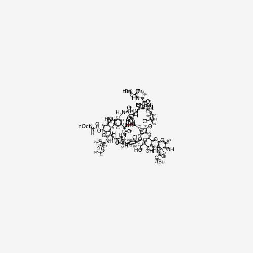 CCCCCCCCNC(=O)Oc1cc(O)c2c(c1)[C@@H](C(=O)NC1C3CC4CC(C3)CC1C4)NC(=O)[C@H]1NC(=O)[C@H](NC(=O)[C@@H]3NC(=O)[C@H](CC(N)=O)NC(=O)[C@H](NC(=O)[C@@H](CC(C)C)NC(=O)OC(C)(C)C)[C@H](O)c4ccc(c(Cl)c4)Oc4cc3cc(c4OC3OC(CO)C(O)C(O)C3OC3CC(C)(NC(=O)OC(C)(C)C)C(O)C(C)O3)Oc3ccc(cc3Cl)[C@H]1O)c1ccc(O)c-2c1